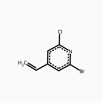 C=Cc1cc(Cl)nc(Br)c1